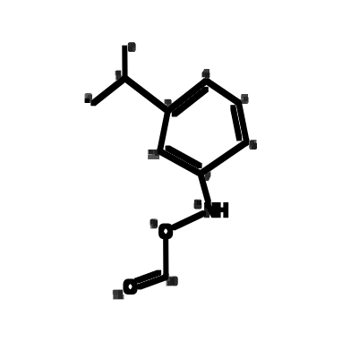 CC(C)c1cccc(NOC=O)c1